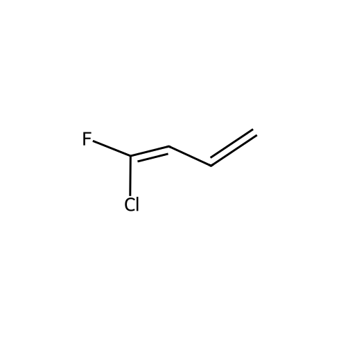 C=CC=C(F)Cl